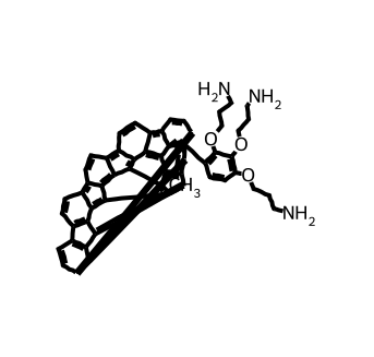 CN1CC23C4=c5ccc6c7ccc8c9ccc%10c%11ccc%12c%13c(c%14c%15c2c5c6c2c7c8c5c9c%10c(c%13%11)c%14c5c%152)C3(C=%12C=C4)C1c1ccc(OCCCN)c(OCCCN)c1OCCCN